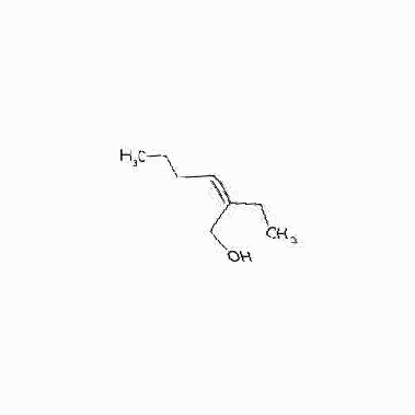 CCCC=C(CC)CO